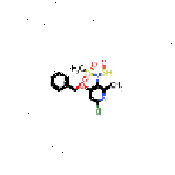 Cc1nc(Cl)cc(OCc2ccccc2)c1N([SH]=O)S(C)(=O)=O